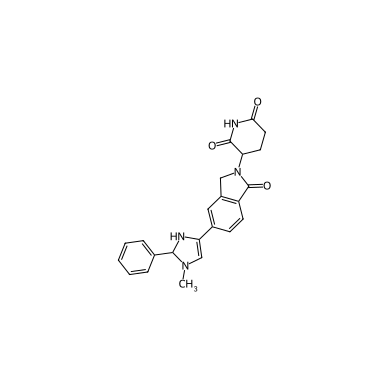 CN1C=C(c2ccc3c(c2)CN(C2CCC(=O)NC2=O)C3=O)NC1c1ccccc1